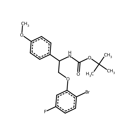 COc1ccc(C(COc2cc(F)ccc2Br)NC(=O)OC(C)(C)C)cc1